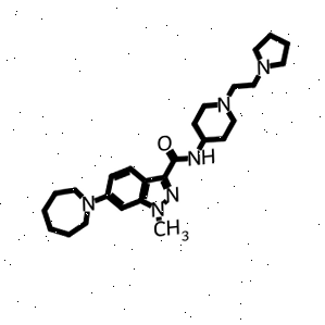 Cn1nc(C(=O)NC2CCN(CCN3CCCC3)CC2)c2ccc(N3CCCCCC3)cc21